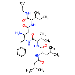 CC[C@H](C)[C@H](NC(=O)C[C@H](N)[C@H](Cc1ccccc1)NC(=O)C(NC(=O)[C@H](CC(C)C)NC(=O)CC(C)C)C(C)C)C(=O)NCC1CC1